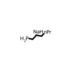 CCCCCCP.[NaH]